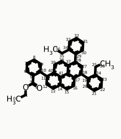 CCOC(=O)c1ccccc1-c1ccc2ccc3c(-c4ccccc4CC)cc(-c4ccccc4CC)c4ccc1c2c34